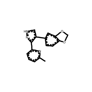 Cc1cccc(-c2n[nH]cc2-c2ccc3c(c2)OCO3)n1